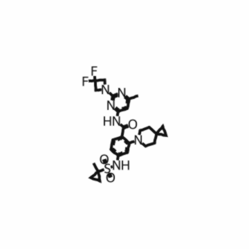 Cc1cc(NC(=O)c2ccc(NS(=O)(=O)C3(C)CC3)cc2N2CCC3(CC2)CC3)nc(N2CC(F)(F)C2)n1